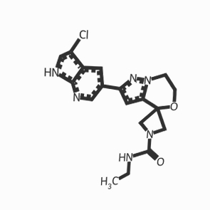 CCNC(=O)N1CC2(C1)OCCn1nc(-c3cnc4[nH]cc(Cl)c4c3)cc12